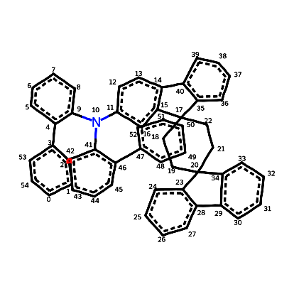 c1ccc(-c2ccccc2N(c2ccc3c(c2)C2(CCC4(CC2)c2ccccc2-c2ccccc24)c2ccccc2-3)c2ccccc2-c2ccccc2)cc1